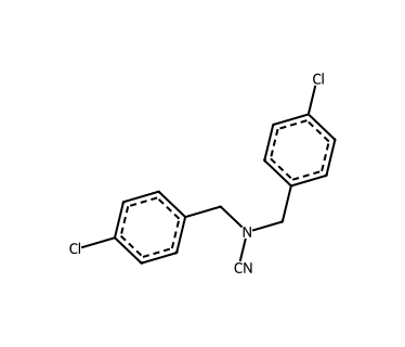 N#CN(Cc1ccc(Cl)cc1)Cc1ccc(Cl)cc1